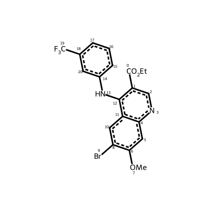 CCOC(=O)c1cnc2cc(OC)c(Br)cc2c1Nc1cccc(C(F)(F)F)c1